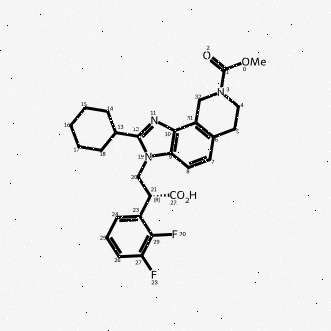 COC(=O)N1CCc2ccc3c(nc(C4CCCCC4)n3C[C@H](C(=O)O)c3cccc(F)c3F)c2C1